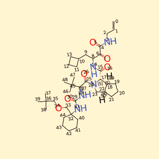 C=CCNC(=O)C(=O)C(CC1CCC1)NC(=O)[C@@H]1[C@H]2CCC[C@H]2CN1C(=O)[C@@H](NC(=O)NC1(COCC(C)(C)C)CCCCC1)C(C)(C)C